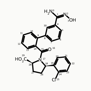 N/C(=N/O)c1cccc(-c2ccccc2C(=O)N2[C@@H](c3ccccc3Cl)CC[C@H]2C(=O)O)c1